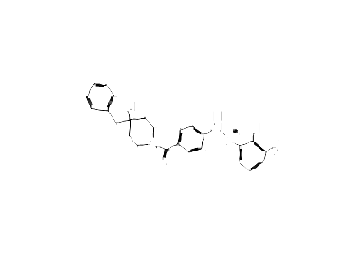 O=C(c1ccc(NS(=O)(=O)c2cccc(Cl)c2Cl)cc1)N1CCC(O)(Cc2ccccc2)CC1